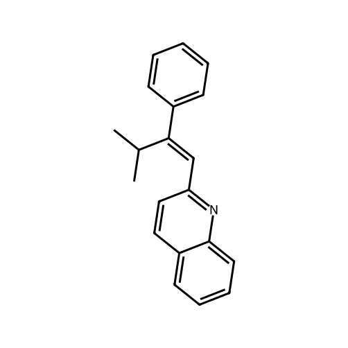 CC(C)/C(=C\c1ccc2ccccc2n1)c1ccccc1